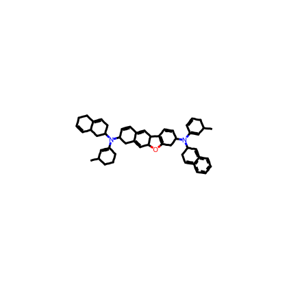 CC1C=C(N(C2C=c3ccccc3=CC2)C2C=CC3=C(C2)OC2C=C4CC(N(C5=CC(C)CCC5)C5CC=C6CCC=CC6C5)C=CC4=CC32)C=CC1